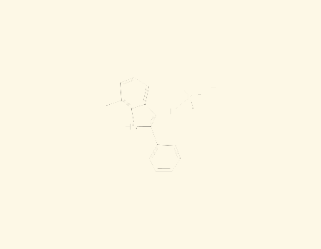 Clc1cccc2cc(-c3ccccc3)[nH]c12.F[B-](F)(F)F.[H+]